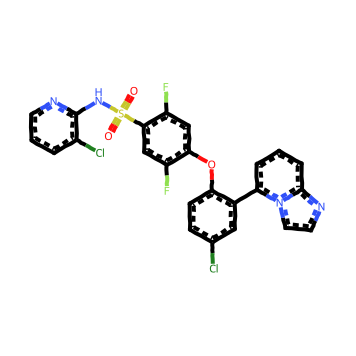 O=S(=O)(Nc1ncccc1Cl)c1cc(F)c(Oc2ccc(Cl)cc2-c2cccc3nccn23)cc1F